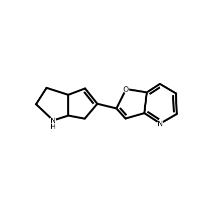 C1=C(c2cc3ncccc3o2)CC2NCCC12